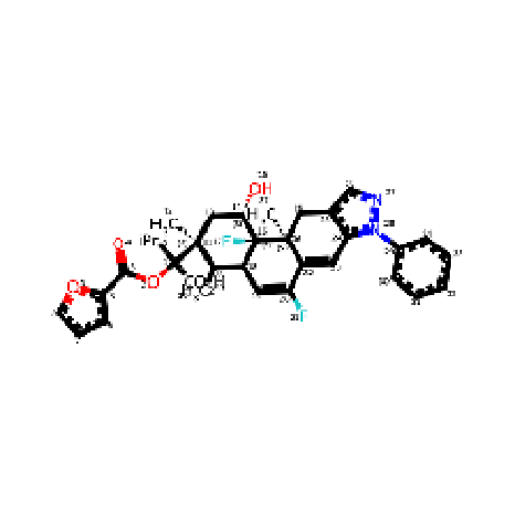 CC(C)C(OC(=O)c1ccco1)(C(=O)O)[C@@]1(C)C[C@H](O)[C@@]2(F)C(C=C(F)C3=Cc4c(cnn4-c4ccccc4)C[C@@]32C)C1C